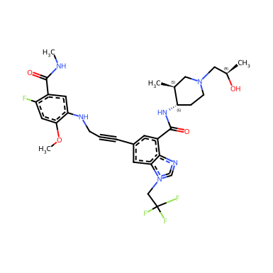 CNC(=O)c1cc(NCC#Cc2cc(C(=O)N[C@H]3CCN(C[C@@H](C)O)C[C@@H]3C)c3ncn(CC(F)(F)F)c3c2)c(OC)cc1F